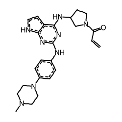 C=CC(=O)N1CCC(Nc2nc(Nc3ccc(N4CCN(C)CC4)cc3)nc3[nH]ccc23)C1